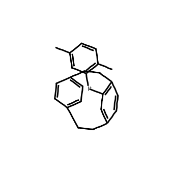 Cc1ccc(C)c([I+]c2cc3ccc2CCc2ccc(cc2)CC3)c1